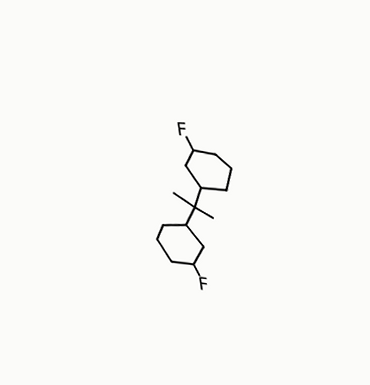 CC(C)(C1CCCC(F)C1)C1CCCC(F)C1